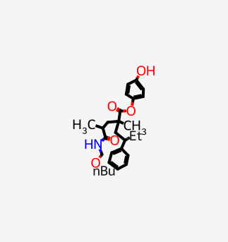 CCCCOCNC(=O)C(C)CC(C)(CC(CC)c1ccccc1)C(=O)Oc1ccc(O)cc1